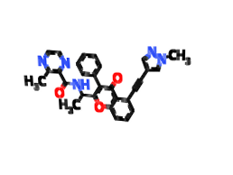 Cc1nccnc1C(=O)NC(C)c1oc2cccc(C#Cc3cnn(C)c3)c2c(=O)c1-c1ccccc1